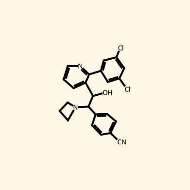 N#Cc1ccc(C(C(O)c2cccnc2-c2cc(Cl)cc(Cl)c2)N2CCC2)cc1